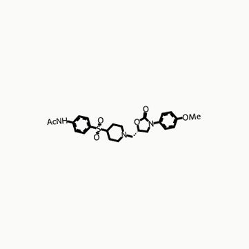 COc1ccc(N2C[C@H](CN3CCC(S(=O)(=O)c4ccc(NC(C)=O)cc4)CC3)OC2=O)cc1